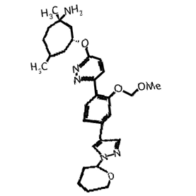 COCOc1cc(-c2cnn(C3CCCCO3)c2)ccc1-c1ccc(O[C@@H]2CC(C)CC[C@](C)(N)C2)nn1